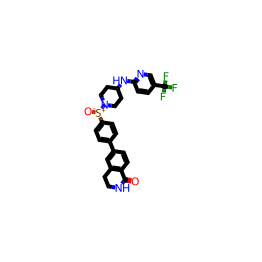 O=C1NCCc2cc(-c3ccc([S+]([O-])N4CCC(Nc5ccc(C(F)(F)F)cn5)CC4)cc3)ccc21